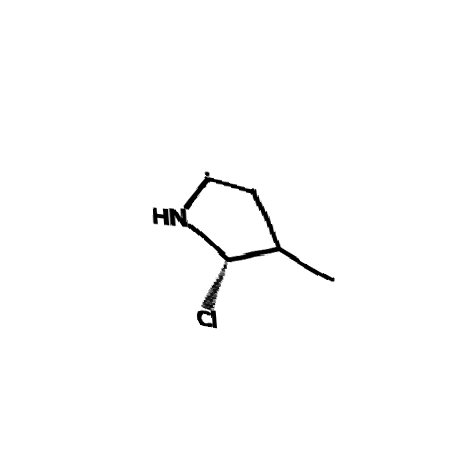 CC1C[CH]N[C@H]1Cl